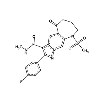 CNC(=O)c1c(-c2ccc(F)cc2)nn2cc3c(cc12)C(=O)CCCN3S(C)(=O)=O